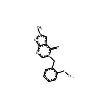 COc1ccccc1Cn1cnc2nn(C)cc2c1=O